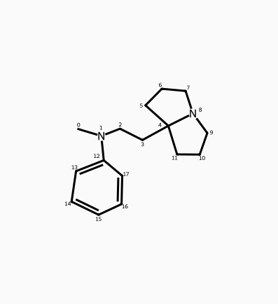 CN(CCC12CCCN1CCC2)c1ccccc1